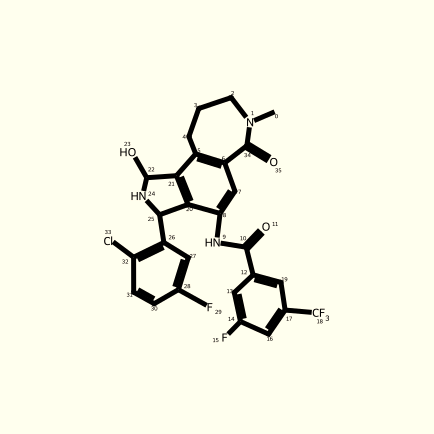 CN1CCCc2c(cc(NC(=O)c3cc(F)cc(C(F)(F)F)c3)c3c2C(O)NC3c2cc(F)ccc2Cl)C1=O